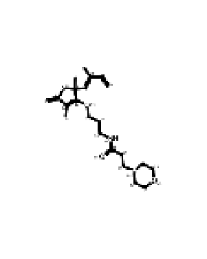 C=C/C(C)=C/C1(C)SC(=C)C(C)=C1OCCCNC(=O)CCN1CCOCC1